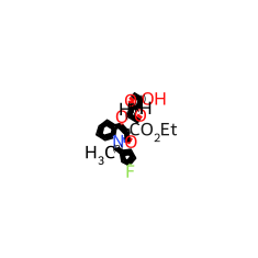 CCOC(=O)c1c(O[C@H]2CO[C@H]3[C@@H]2OC[C@@H]3O)c2ccccc2n([C@H](C)C2=CC=C(F)C2)c1=O